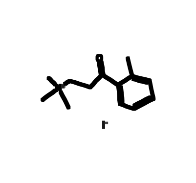 Cc1ccccc1C(=O)CC[N+](C)(C)C.[I-]